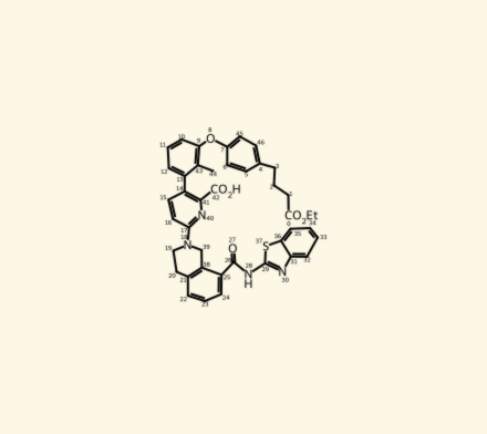 CCOC(=O)CCCc1ccc(Oc2cccc(-c3ccc(N4CCc5cccc(C(=O)Nc6nc7ccccc7s6)c5C4)nc3C(=O)O)c2C)cc1